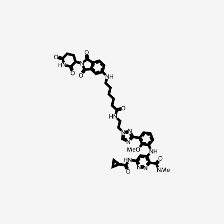 CNC(=O)c1nnc(NC(=O)C2CC2)cc1Nc1cccc(-c2ncn(CCNC(=O)CCCCCNc3ccc4c(c3)C(=O)N(C3CCC(=O)NC3=O)C4=O)n2)c1OC